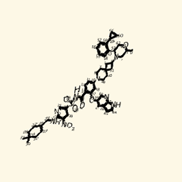 CC1CN(C2CC3(CCN(c4ccc(C(=O)NS(=O)(=O)c5cnc(NCC6CCC(C)(C)CC6)c([N+](=O)[O-])c5)c(Oc5cnc6[nH]ccc6c5)c4)CC3)C2)[C@@H](c2ccccc2C2CC2)CO1